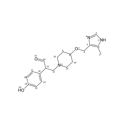 Cc1[nH]cnc1COC1CCN(CC(C=O)c2ccc(O)cc2)CC1